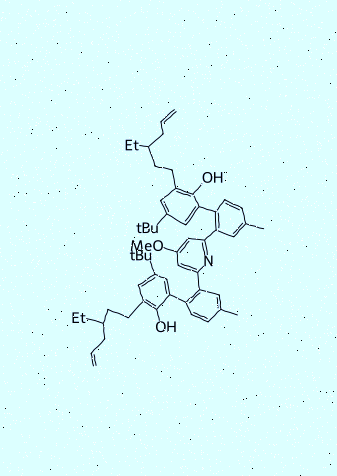 C=CCC(CC)CCc1cc(C(C)(C)C)cc(-c2ccc(C)cc2-c2cc(OC)cc(-c3cc(C)ccc3-c3cc(C(C)(C)C)cc(CCC(CC)CC=C)c3O)n2)c1O